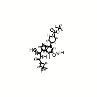 CC(C)(C)OC(=O)N1CCC(c2cc(=O)[nH]c3c(/C(=N\O)NC(=O)C4CC(F)(F)C4)cnn23)CC1.Cl